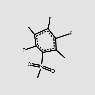 Cc1c(F)c(F)c(C)c(S(C)(=O)=O)c1F